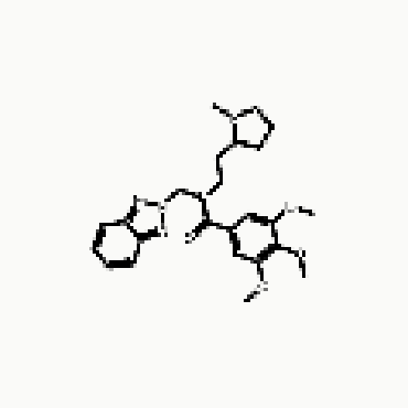 COc1cc(C(=O)N(CCC2CCCN2C)Cn2nc3ccccc3n2)cc(OC)c1OC